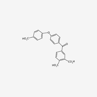 O=C(O)c1ccc(Oc2ccc(C(=O)c3ccc(C(=O)O)c(C(=O)O)c3)cc2)cc1